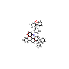 CC1C=c2oc3ccccc3c2=C(C2=CC(N(c3ccc4c(c3)-c3ccccc3C43CC4CCC3C4)c3ccccc3-c3ccccc3-c3ccccc3-c3ccccc3)=CCC2)C1